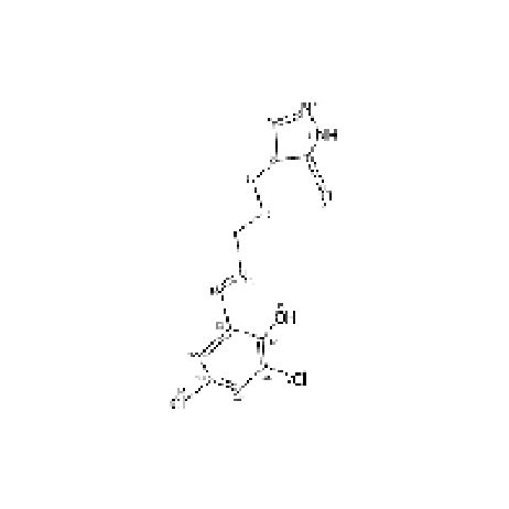 O=C1NN=CC1CCCN=Cc1cc(Cl)cc(Cl)c1O